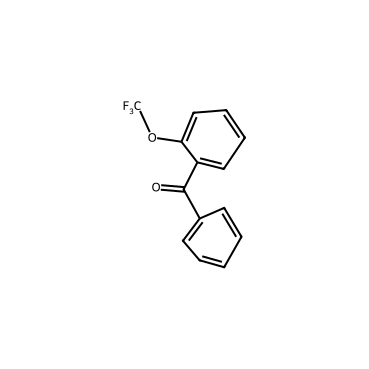 O=C(c1ccccc1)c1ccccc1OC(F)(F)F